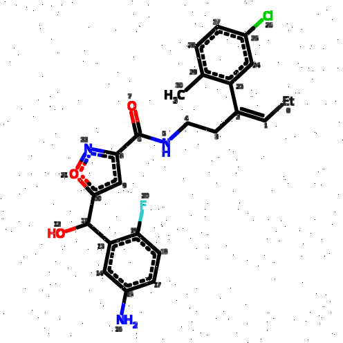 CC/C=C(/CCNC(=O)c1cc(C(O)c2cc(N)ccc2F)on1)c1cc(Cl)ccc1C